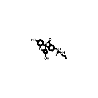 CCCNC(=S)Nc1ccc2c(c1)C(=O)OC21c2ccc(O)cc2Oc2cc(O)ccc21